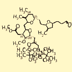 C=C1CC(CCC=O)OC1CC[C@H]1C[C@@H](C)C(=C)C(CC2O[C@H](C[C@@H](CO[Si](C)(C)C(C)(C)C)O[Si](C)(C)C(C)(C)C)[C@H](OC)[C@H]2CC(=O)OC)O1